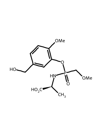 COCP(=O)(N[C@@H](C)C(=O)O)Oc1cc(CO)ccc1OC